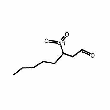 CCCCCC(C[C]=O)[SH](=O)=O